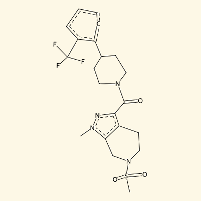 Cn1nc(C(=O)N2CCC(c3ccccc3C(F)(F)F)CC2)c2c1CN(S(C)(=O)=O)CC2